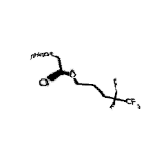 CCCCCCCC(=O)OCCCC(F)(F)C(F)(F)F